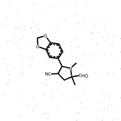 CN1C(c2ccc3c(c2)OCO3)C(C#N)CC1(C)C=O